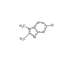 Cc1nc2cc(Cl)ccc2n1C